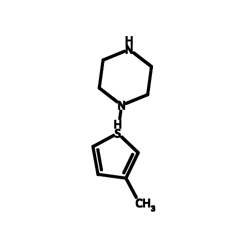 CC1=C[SH](N2CCNCC2)C=C1